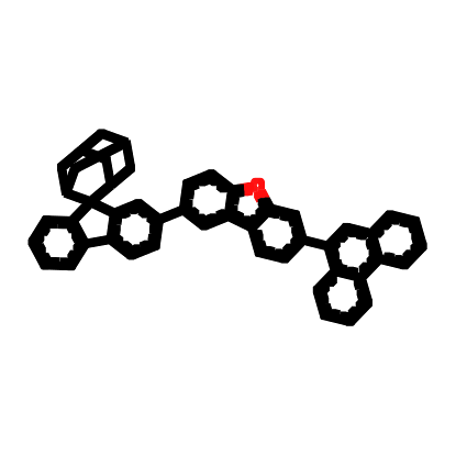 c1ccc2c(c1)-c1ccc(-c3ccc4oc5cc(-c6cc7ccccc7c7ccccc67)ccc5c4c3)cc1C21C2CC3CC(C2)CC1C3